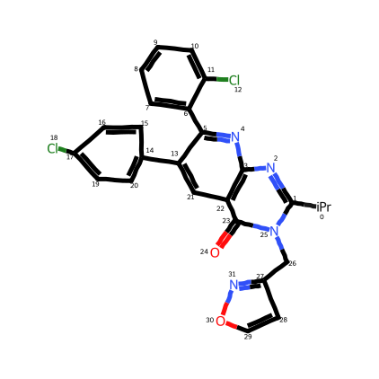 CC(C)c1nc2nc(-c3ccccc3Cl)c(-c3ccc(Cl)cc3)cc2c(=O)n1Cc1ccon1